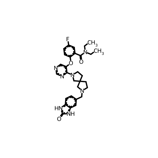 CCN(CC)C(=O)c1cc(F)ccc1Oc1cncnc1N1CCC2(CCN(Cc3ccc4[nH]c(=O)[nH]c4c3)C2)C1